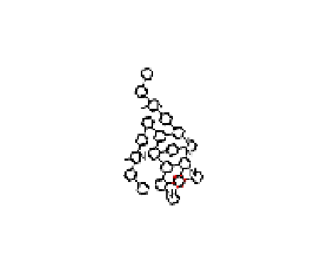 Cc1cc(-c2ccc(-c3ccccc3-c3cc(-c4ccccc4-c4ccc(-c5cc(C)c(-c6cccc(-c7ccccc7)c6)cn5)cc4)cc(-c4cccc(-c5cc(-c6ccccc6-c6ccc(-c7ccccn7)cc6)cc(-c6ccccc6-c6ccc(-c7ccccn7)cc6)c5)c4-c4ccc(-c5ncccn5)cc4)c3)cc2)ncc1-c1cccc(-c2ccccc2)c1